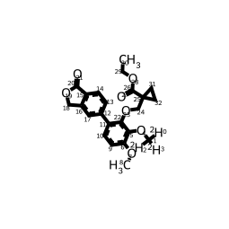 [2H]C([2H])([2H])Oc1c(OC)ccc(-c2ccc3c(c2)COC3=O)c1OCC1(C(=O)OCC)CC1